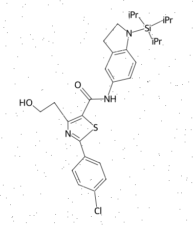 CC(C)[Si](C(C)C)(C(C)C)N1CCc2cc(NC(=O)c3sc(-c4ccc(Cl)cc4)nc3CCO)ccc21